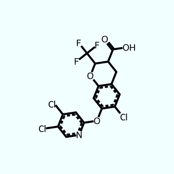 O=C(O)C1Cc2cc(Cl)c(Oc3cc(Cl)c(Cl)cn3)cc2OC1C(F)(F)F